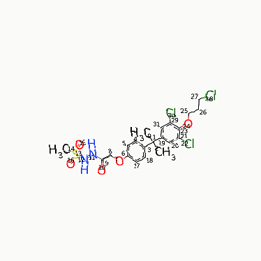 CC(C)(c1ccc(OCC(=O)NNS(C)(=O)=O)cc1)c1cc(Cl)c(OCCCCl)c(Cl)c1